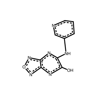 Oc1nc2nonc2nc1Nc1cccnc1